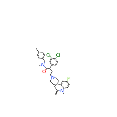 C=C1CC2(CCN(CCC(C(=O)N(C)Cc3ccc(C)cc3)c3ccc(Cl)c(Cl)c3)CC2)c2cc(F)ccc2N1C